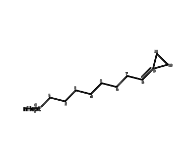 CCCCCCCCCCCCCCC=C1CC1